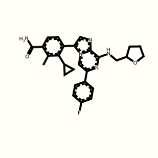 Cc1c(C(N)=O)ccc(-c2cnc3c(NCC4CCCO4)nc(-c4ccc(F)cc4)cn23)c1C1CC1